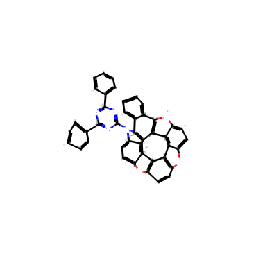 c1ccc(-c2nc(-c3ccccc3)nc(-n3c4ccc5oc6ccc7oc8ccc9oc%10c%11ccccc%11c3c3c%10c9c8c7c6c5c34)n2)cc1